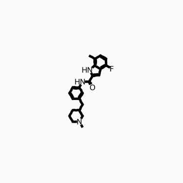 Cc1ccc(F)c2cc(C(=O)Nc3cccc(CC4CCCN(C)C4)c3)[nH]c12